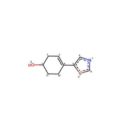 OC1CC=C(c2cncs2)CC1